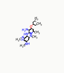 CCC(CC)Oc1cc(C)nc(Nc2c(NC)cc(NC)cc2NC)c1N